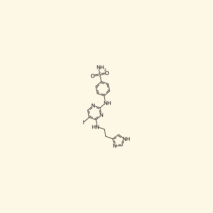 NS(=O)(=O)c1ccc(Nc2ncc(I)c(NCCc3c[nH]cn3)n2)cc1